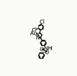 CC(=O)N1N=C(c2ccc(NS(=O)(=O)c3ccccc3)cc2)CC1c1ccc(Cl)cc1Cl